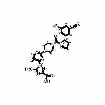 Cc1nc(C(=O)O)nn1-c1nc(N2CCN(C(=O)N3N=CC[C@H]3c3cc(F)cc(C#N)c3)CC2)ncc1F